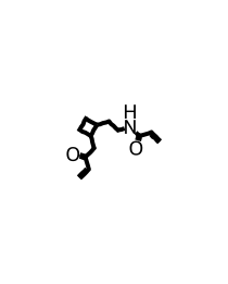 C=CC(=O)CC1CCC1CCNC(=O)C=C